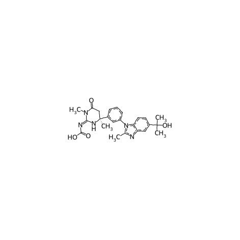 Cc1nc2cc(C(C)(C)O)ccc2n1-c1cccc([C@]2(C)CC(=O)N(C)/C(=N/C(=O)O)N2)c1